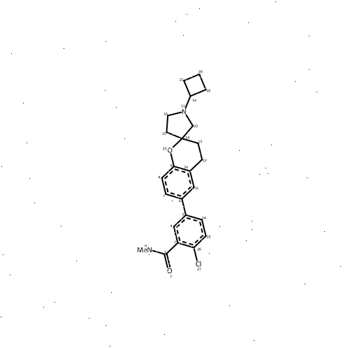 CNC(=O)c1cc(-c2ccc3c(c2)CCC2(CCN(C4CCC4)C2)O3)ccc1Cl